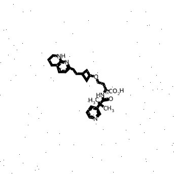 CC(C)(C(=O)N[C@@H](CCOC1CC(CCc2ccc3c(n2)NCCC3)C1)C(=O)O)c1cccnc1